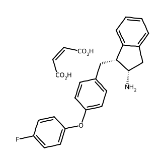 N[C@H]1Cc2ccccc2[C@H]1Cc1ccc(Oc2ccc(F)cc2)cc1.O=C(O)/C=C\C(=O)O